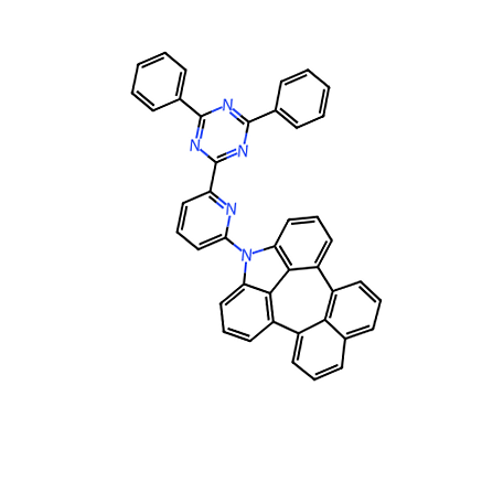 c1ccc(-c2nc(-c3ccccc3)nc(-c3cccc(-n4c5cccc6c5c5c(cccc54)-c4cccc5cccc-6c45)n3)n2)cc1